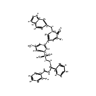 Cc1cc(-c2cc(F)c(=O)n(Cc3ccn4ccnc4c3)c2)nc(S(=O)(=O)CCC(OCc2ccccc2F)c2ccccc2)n1